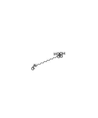 O=C=NCCCCCCCCCCCCCCOP(=O)(O)O